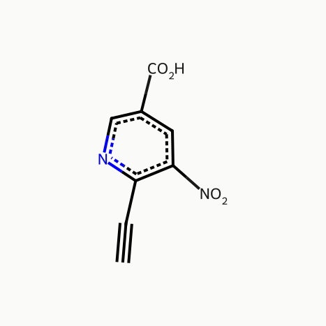 C#Cc1ncc(C(=O)O)cc1[N+](=O)[O-]